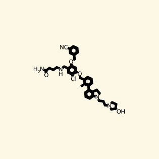 Cc1c(COc2cc(OCc3cccc(C#N)c3)c(CNCCCC(N)=O)cc2Cl)cccc1-c1cccc2c1CCN2CCCN1CCC(O)C1